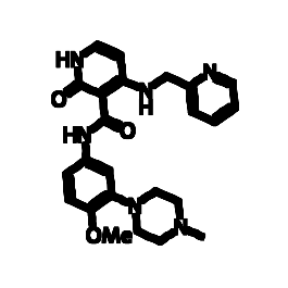 COc1ccc(NC(=O)c2c(NCc3ccccn3)cc[nH]c2=O)cc1N1CCN(C)CC1